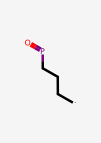 [CH2]CCCP=O